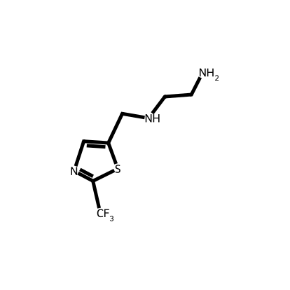 NCCNCc1cnc(C(F)(F)F)s1